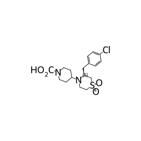 O=C(O)N1CCC(N2CCS(=O)(=O)C[C@@H]2Cc2ccc(Cl)cc2)CC1